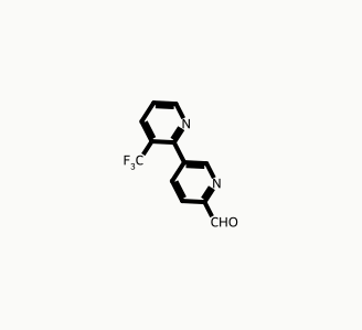 O=Cc1ccc(-c2ncccc2C(F)(F)F)cn1